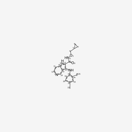 O=C(NOCC1CC1)c1[nH]c2ccncc2c1Nc1ccc(I)cc1F